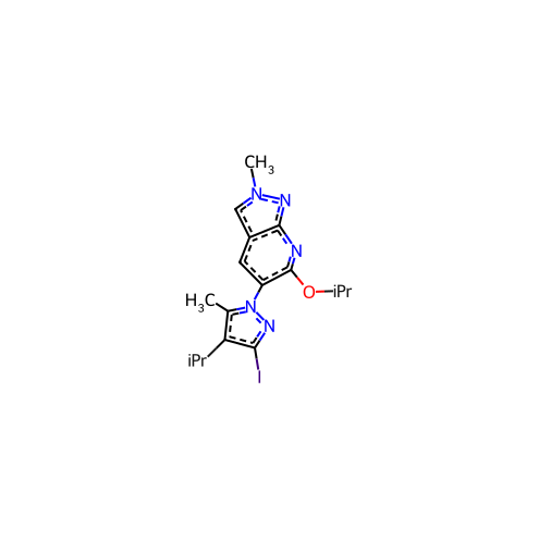 Cc1c(C(C)C)c(I)nn1-c1cc2cn(C)nc2nc1OC(C)C